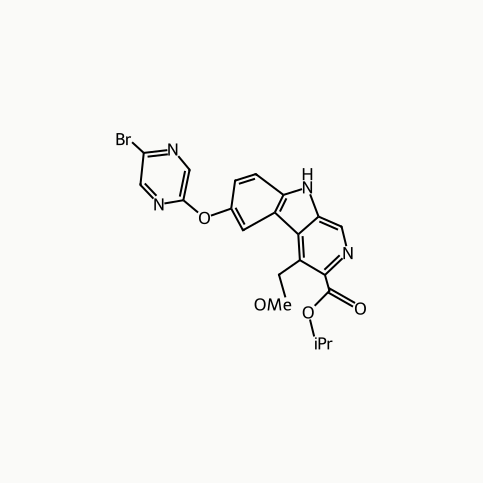 COCc1c(C(=O)OC(C)C)ncc2[nH]c3ccc(Oc4cnc(Br)cn4)cc3c12